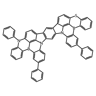 c1ccc(-c2ccc3c(c2)B2c4ccccc4Sc4ccc5c6cc7c8ccc9c%10c8n(c7cc6n-3c5c42)-c2ccc(-c3ccccc3)cc2B%10c2ccccc2N9c2ccccc2)cc1